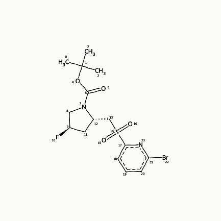 CC(C)(C)OC(=O)N1C[C@H](F)C[C@H]1CS(=O)(=O)c1cccc(Br)n1